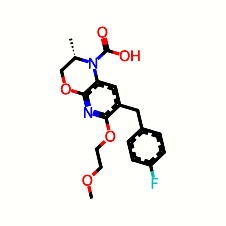 COCCOc1nc2c(cc1Cc1ccc(F)cc1)N(C(=O)O)[C@@H](C)CO2